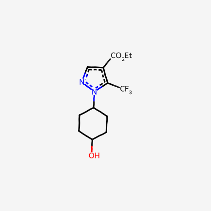 CCOC(=O)c1cnn(C2CCC(O)CC2)c1C(F)(F)F